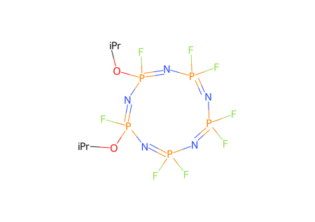 CC(C)OP1(F)=NP(F)(F)=NP(F)(F)=NP(F)(F)=NP(F)(OC(C)C)=N1